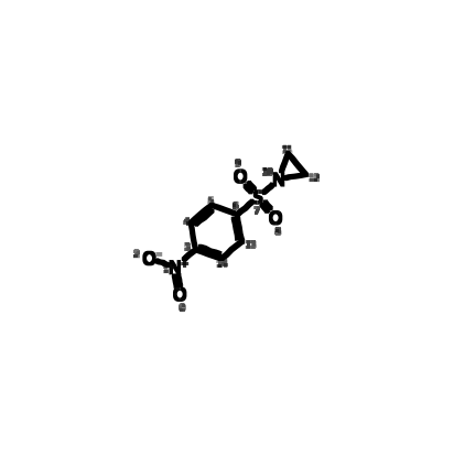 O=[N+]([O-])c1ccc(S(=O)(=O)N2CC2)cc1